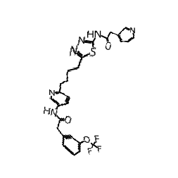 O=C(Cc1cccc(OC(F)(F)F)c1)Nc1ccc(CCCCc2nnc(NC(=O)Cc3cccnc3)s2)nc1